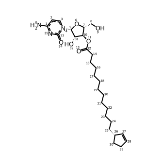 Nc1ccn([C@@H]2O[C@H](CO)[C@@H](OC(=O)CCCCCCCCCCCC[C@@H]3C=CCC3)[C@@H]2O)c(=O)n1